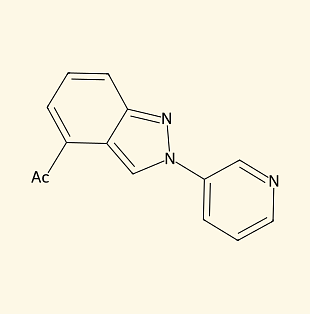 CC(=O)c1cccc2nn(-c3cccnc3)cc12